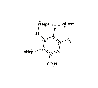 CCCCCCCOc1c(O)cc(C(=O)O)c(CCCCCCC)c1OCCCCCCC